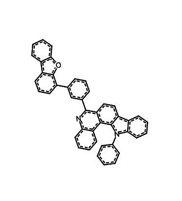 c1ccc(-n2c3ccccc3c3ccc4c(-c5cccc(-c6cccc7c6oc6ccccc67)c5)nc5ccccc5c4c32)cc1